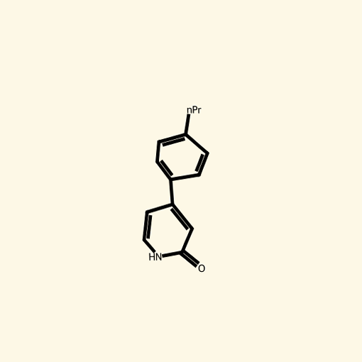 CCCc1ccc(-c2cc[nH]c(=O)c2)cc1